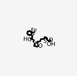 O=C(O)c1ccc(CCCN2C(=O)CC[C@@H]2CCC(O)Cc2ccccc2C(F)(F)F)s1